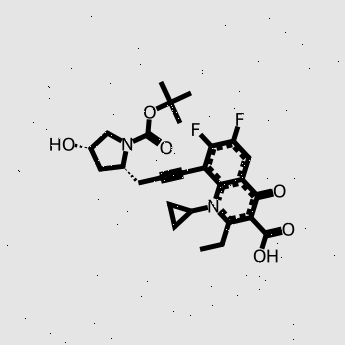 CCc1c(C(=O)O)c(=O)c2cc(F)c(F)c(C#CC[C@@H]3C[C@H](O)CN3C(=O)OC(C)(C)C)c2n1C1CC1